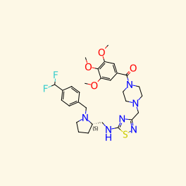 COc1cc(C(=O)N2CCN(Cc3nsc(NC[C@@H]4CCCN4Cc4ccc(C(F)F)cc4)n3)CC2)cc(OC)c1OC